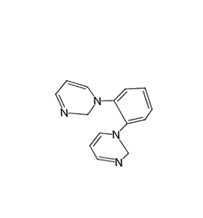 C1=CN(c2ccccc2N2C=CC=NC2)CN=C1